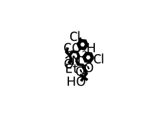 CC[C@@H](CS(=O)(=O)CC(C)(C)O)N1C(=O)[C@](C)(CC(=O)O)C[C@H](c2cccc(Cl)c2)[C@H]1c1ccc(Cl)cc1